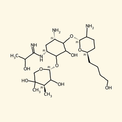 CC(O)C(=N)N[C@@H]1C[C@H](N)C(O[C@H]2O[C@H](CCCCO)CCC2N)C(O)C1O[C@H]1OCC(C)(O)[C@H](C)C1O